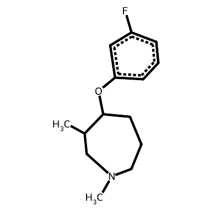 CC1CN(C)CCCC1Oc1cccc(F)c1